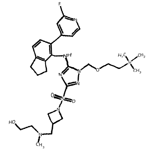 CN(CCO)CC1CN(S(=O)(=O)c2nc(Nc3c(-c4ccnc(F)c4)ccc4c3CCC4)n(COCC[Si](C)(C)C)n2)C1